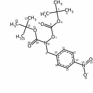 CC(C)(C)OC(=O)ON(Cc1ccc([N+](=O)[O-])cc1)C(=O)OC(C)(C)C